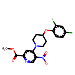 COC(=O)c1cc(N2CCC(Oc3ccc(F)cc3F)CC2)c([N+](=O)[O-])cn1